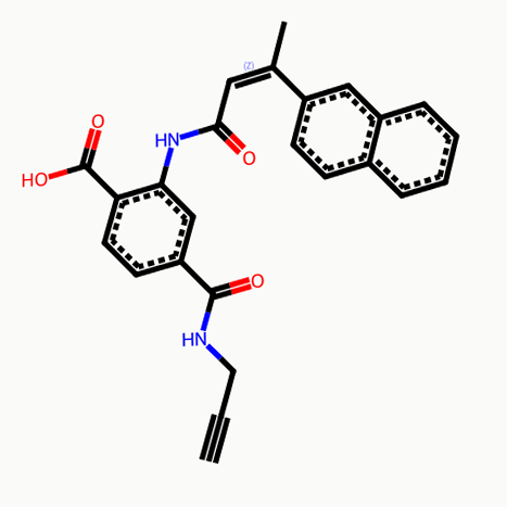 C#CCNC(=O)c1ccc(C(=O)O)c(NC(=O)/C=C(/C)c2ccc3ccccc3c2)c1